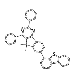 CC1(C)c2cc(-c3cccc4c3sc3ccccc34)ccc2-c2nc(-c3ccccc3)nc(-c3ccccc3)c21